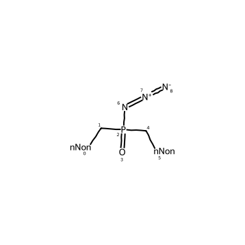 CCCCCCCCCCP(=O)(CCCCCCCCCC)N=[N+]=[N-]